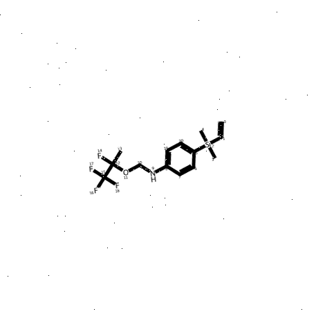 C=C[Si](C)(C)c1ccc(NCOC(C)(F)C(F)(F)F)cc1